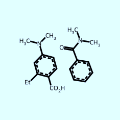 CCc1cc(N(C)C)ccc1C(=O)O.CN(C)C(=O)c1ccccc1